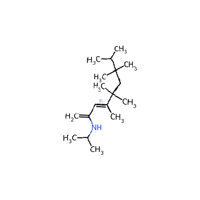 C=C(/C=C(\C)C(C)(C)CC(C)(C)C(C)C)NC(C)C